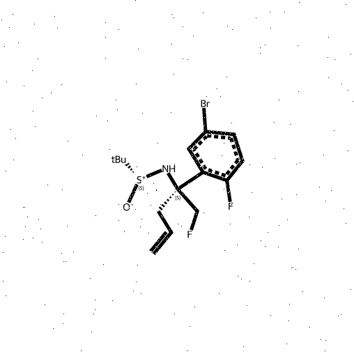 C=CC[C@](CF)(N[S@+]([O-])C(C)(C)C)c1cc(Br)ccc1F